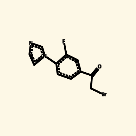 O=C(CBr)c1ccc(-n2ccnc2)c(F)c1